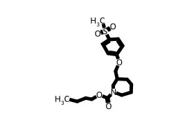 CCCCOC(=O)N1CCCCC(COc2ccc(S(C)(=O)=O)cc2)C1